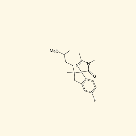 COC(C)CCC1(C)Cc2cc(F)ccc2C12N=C(C)N(C)C2=O